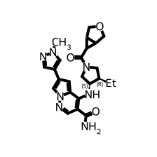 CC[C@@H]1CN(C(=O)C2C3COCC32)C[C@H]1Nc1c(C(N)=O)cnn2cc(-c3cnn(C)c3)cc12